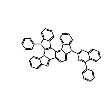 c1ccc(-c2nc(-n3c4ccccc4c4c5c(ccc43)c3nc4ccccc4n3c3c5c4ccccc4n3-c3ccccc3)nc3ccccc23)cc1